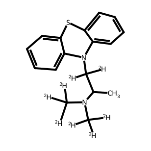 [2H]C([2H])([2H])N(C(C)C([2H])([2H])N1c2ccccc2Sc2ccccc21)C([2H])([2H])[2H]